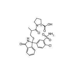 CC(CSC1(c2ccc(Cl)c(S(N)(=O)=O)c2)NC(=O)c2ccccc21)C(=O)N1CCC[C@H]1C(=O)O